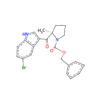 C[C@]1(C(=O)c2c[nH]c3ccc(Br)cc23)CCCN1C(=O)OCc1ccccc1